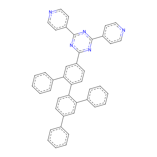 c1ccc(-c2ccc(-c3ccc(-c4nc(-c5ccncc5)nc(-c5ccncc5)n4)cc3-c3ccccc3)c(-c3ccccc3)c2)cc1